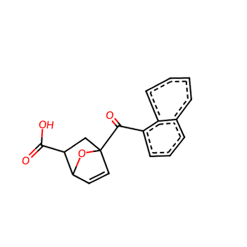 O=C(O)C1CC2(C(=O)c3cccc4ccccc34)C=CC1O2